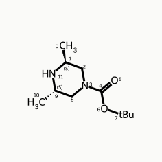 C[C@H]1CN(C(=O)OC(C)(C)C)C[C@H](C)N1